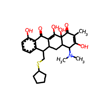 CC1=C(O)C(N(C)C)C2CC3C(=C(O)C2(O)C1=O)C(=O)c1c(O)cccc1C3CSC1CCCC1